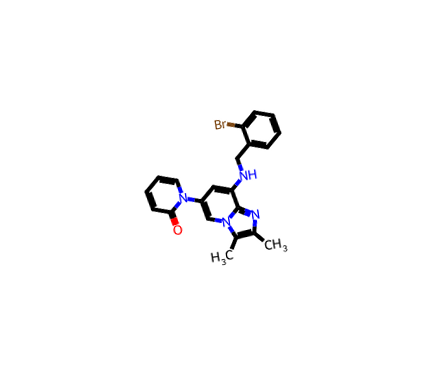 Cc1nc2c(NCc3ccccc3Br)cc(-n3ccccc3=O)cn2c1C